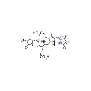 C/C=C1/C(=C/c2[nH]c(/C=c3\[nH]/c(=C/C4=NC(=O)C(CC)=C4C)c(C)c3CCC(=O)O)c(CCC(=O)O)c2C)NC(=O)[C@@H]1C